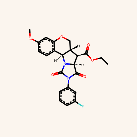 CCOC(=O)[C@@H]1[C@H]2COc3cc(OC)ccc3[C@@H]2N2C(=O)N(c3cccc(F)c3)C(=O)[C@]12C